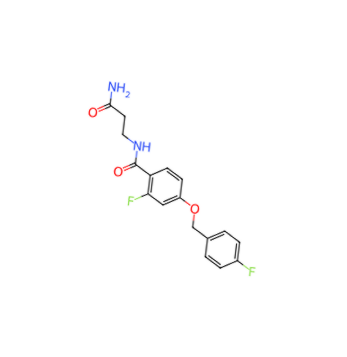 NC(=O)CCNC(=O)c1ccc(OCc2ccc(F)cc2)cc1F